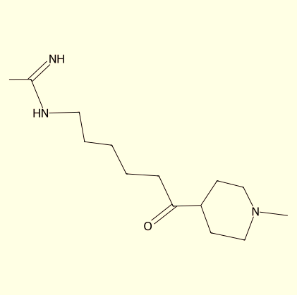 CC(=N)NCCCCCC(=O)C1CCN(C)CC1